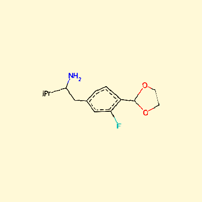 CC(C)C(N)Cc1ccc(C2OCCO2)c(F)c1